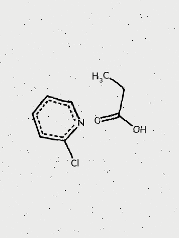 CCC(=O)O.Clc1ccccn1